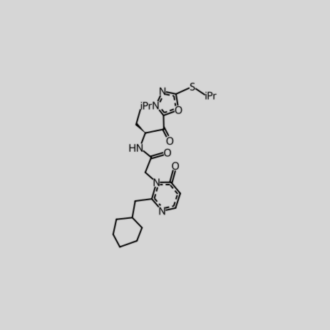 CC(C)C[C@H](NC(=O)Cn1c(CC2CCCCC2)nccc1=O)C(=O)c1nnc(SC(C)C)o1